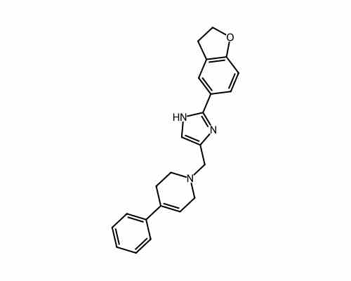 C1=C(c2ccccc2)CCN(Cc2c[nH]c(-c3ccc4c(c3)CCO4)n2)C1